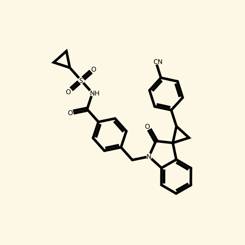 N#Cc1ccc(C2CC23C(=O)N(Cc2ccc(C(=O)NS(=O)(=O)C4CC4)cc2)c2ccccc23)cc1